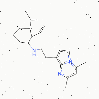 C=CC1C(NCCc2ccn3c(C)cc(C)nc23)CCCC1C(C)C